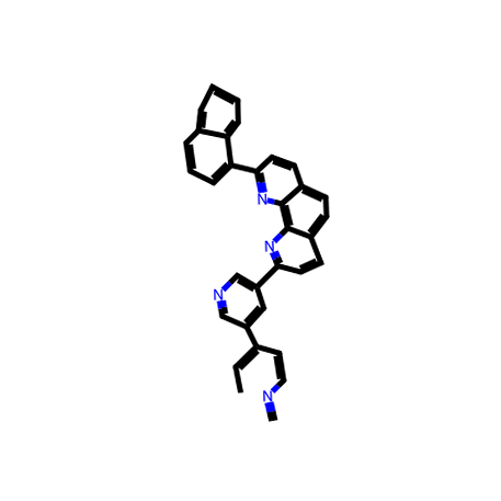 C=N/C=C\C(=C/C)c1cncc(-c2ccc3ccc4ccc(-c5cccc6ccccc56)nc4c3n2)c1